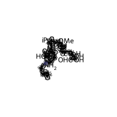 CCC(C)C([C@@H](CC(=O)N1CCCC1C(OC)C(C)C(=O)NC(Cc1ccc(OC2OC(C=O)CC(O)[C@@H]2O)cc1)C(=O)O)OC)N(C)C(=O)CNC(=O)C(C(C)C)N(C)C(=O)OCc1ccc(OC2OC(CO)C(O)[C@H](O)[C@H]2O)c(C(=O)NCC(C)(C)COCC(C)(C)CN/C=C(\N)COCC(C)(C)COCC(C)(C)CN2C(=O)C=CC2=O)c1